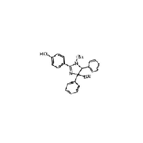 CC(C)(C)N1C(c2ccc(O)cc2)=NC(c2ccccc2)(C(C)(C)C)C1c1ccccc1